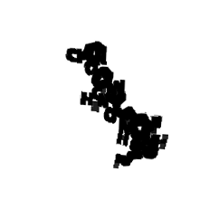 Nc1c(C(=O)c2cc3cc(F)c(NS(=O)(=O)CCCF)cc3[nH]2)cnn1-c1ccc(Oc2ncccc2Cl)cc1Cl